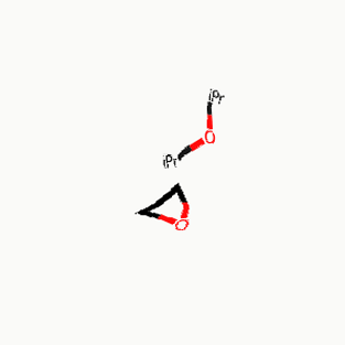 C1CO1.CC(C)OC(C)C